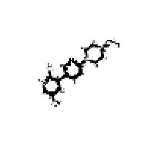 CC(C)c1cnc(Cl)c(-c2ccc(N3CCN(C)CC3)nc2)c1